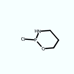 ClP1NCCCO1